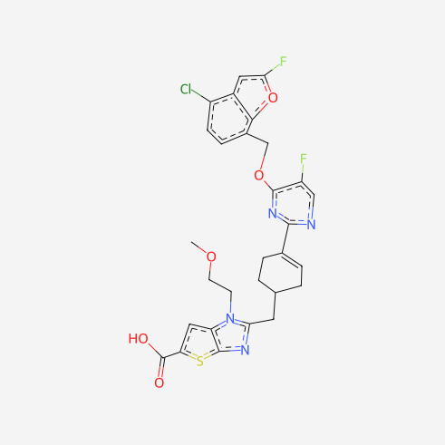 COCCn1c(CC2CC=C(c3ncc(F)c(OCc4ccc(Cl)c5cc(F)oc45)n3)CC2)nc2sc(C(=O)O)cc21